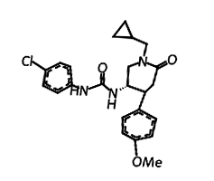 COc1ccc(C2CC(=O)N(CC3CC3)C[C@H]2NC(=O)Nc2ccc(Cl)cc2)cc1